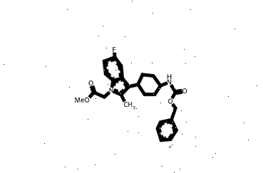 COC(=O)Cn1c(C)c(C2CCC(NC(=O)OCc3ccccc3)CC2)c2cc(F)ccc21